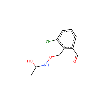 CC(O)NOCc1c(Cl)cccc1C=O